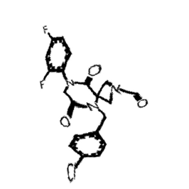 O=CN1CC2(C1)C(=O)N(c1ccc(F)cc1F)CC(=O)N2Cc1ccc(Cl)cc1